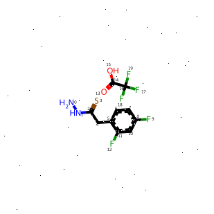 NNC(=S)Cc1ccc(F)cc1F.O=C(O)C(F)(F)F